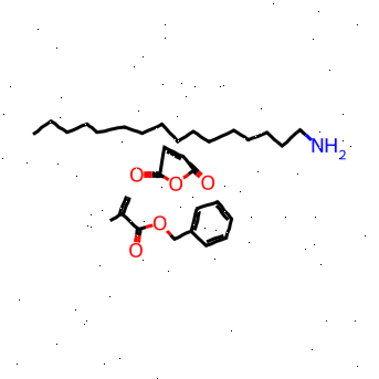 C=C(C)C(=O)OCc1ccccc1.CCCCCCCCCCCCCCCCN.O=C1C=CC(=O)O1